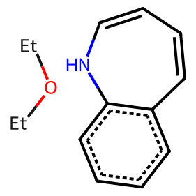 C1=CNc2ccccc2C=C1.CCOCC